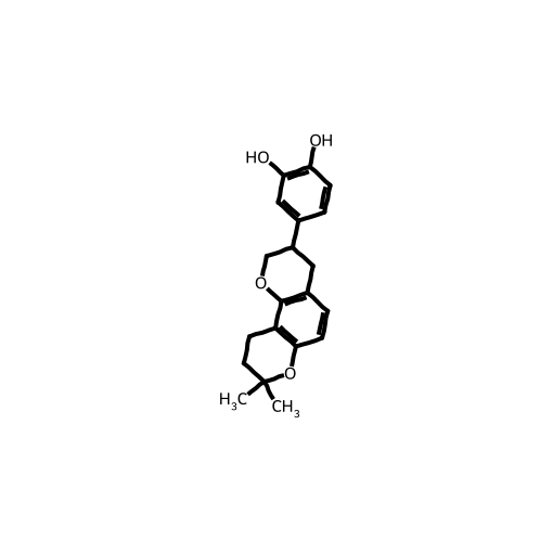 CC1(C)CCc2c(ccc3c2OCC(c2ccc(O)c(O)c2)C3)O1